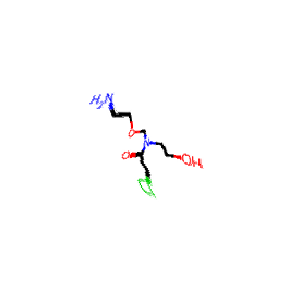 NCCOCN(CCO)C(=O)CCl